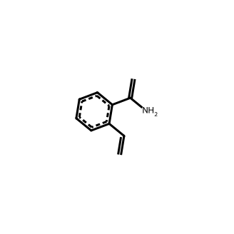 C=Cc1ccccc1C(=C)N